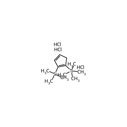 C[Si](C)(C)C1=[C]([Ti]([CH3])([CH3])([CH3])[CH3])CC=C1.Cl.Cl.Cl